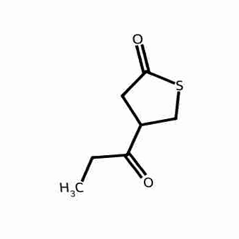 CCC(=O)C1CSC(=O)C1